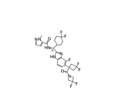 Cn1nccc1C(=O)N[C@H](c1nc2c(F)c(C3(C(=O)N4CC(F)(F)C4)CC(F)(F)C3)ccc2[nH]1)C1CCC(F)(F)CC1